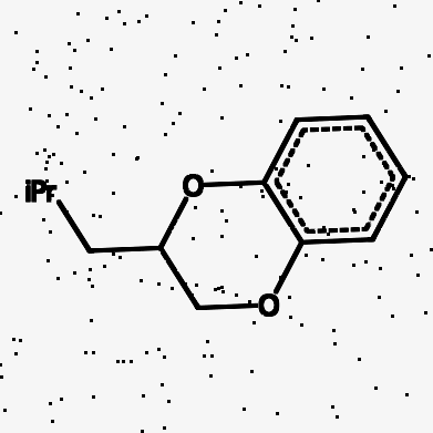 CC(C)CC1COc2ccccc2O1